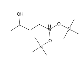 CC(O)CC[SiH](O[Si](C)(C)C)O[Si](C)(C)C